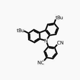 CC(C)(C)c1ccc2c(c1)c1cc(C(C)(C)C)ccc1n2-c1cc(C#N)ccc1C#N